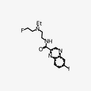 CCN(CCF)CCNC(=O)c1cnc2cc(I)ccc2n1